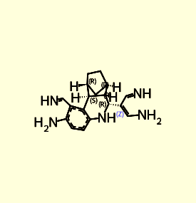 N=C/C(=C\N)[C@@H]1Nc2ccc(N)c(C=N)c2[C@H]2[C@@H]3CC[C@H](C3)[C@H]21